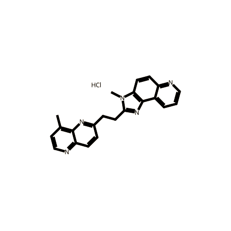 Cc1ccnc2ccc(CCc3nc4c5cccnc5ccc4n3C)nc12.Cl